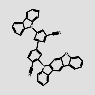 N#Cc1cc(-c2ccc(C#N)c(-n3c4ccccc4c4cc5c(cc43)oc3ccccc35)c2)cc(-n2c3ccccc3c3ccccc32)c1